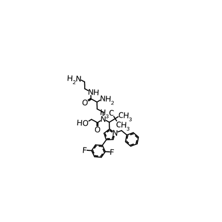 CC(C)(C)C(c1cc(-c2cc(F)ccc2F)cn1Cc1ccccc1)N(CCC(N)C(=O)NCCN)C(=O)CO